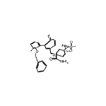 Cc1cccc(-c2cc(C[C@]3(C(N)=O)CC[C@H](NS(C)(=O)=O)C3)ccc2F)c1OCc1ccccc1